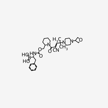 CC(C)(C=C(C#N)C(=O)N1CCCCC1COC(=O)NC(Cc1ccccc1)B(O)O)N1CCN(C2COC2)CC1